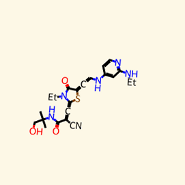 CCNc1cc(NC=C=c2sc(=C=C(C#N)C(=O)NC(C)(C)CO)n(CC)c2=O)ccn1